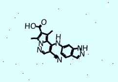 Cc1c(C(=O)O)c(C)n2ncc(C#N)c(Nc3ccc4cn[nH]c4c3)c12